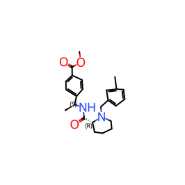 COC(=O)c1ccc([C@H](C)NC(=O)[C@H]2CCCCN2Cc2cccc(C)c2)cc1